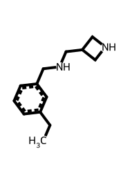 CCc1cccc(CNCC2CNC2)c1